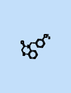 O=C1CSc2ccccc2N1Cc1cccc(C(F)(F)F)c1